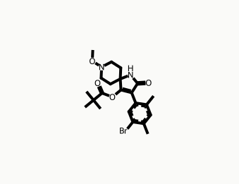 CON1CCC2(CC1)NC(=O)C(c1cc(Br)c(C)cc1C)=C2OC(=O)C(C)(C)C